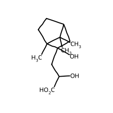 CC1(C)C2CCC1(C)C(O)(CC(O)C(=O)O)C2